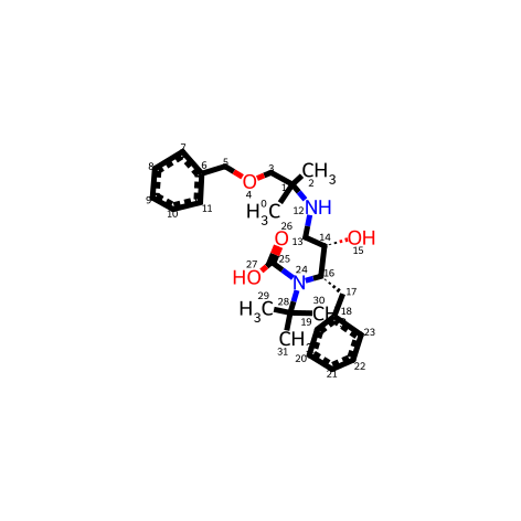 CC(C)(COCc1ccccc1)NC[C@H](O)[C@H](Cc1ccccc1)N(C(=O)O)C(C)(C)C